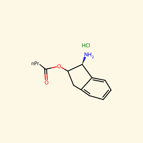 CCCC(=O)OC1Cc2ccccc2[C@@H]1N.Cl